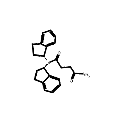 NC(=O)CCC(=O)N([C@@H]1CCc2ccccc21)[C@@H]1CCc2ccccc21